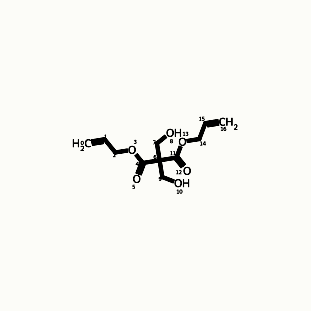 C=CCOC(=O)C(CO)(CO)C(=O)OCC=C